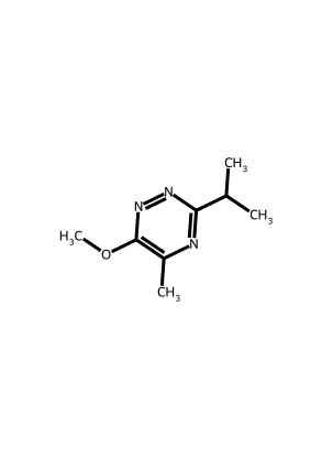 COc1nnc(C(C)C)nc1C